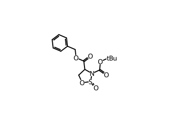 CC(C)(C)OC(=O)N1C(C(=O)OCc2ccccc2)COS1=O